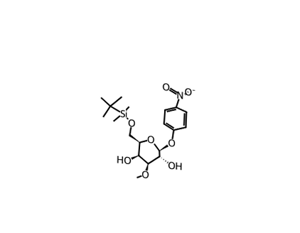 CO[C@H]1[C@@H](O)[C@@H](CO[Si](C)(C)C(C)(C)C)O[C@@H](Oc2ccc([N+](=O)[O-])cc2)[C@@H]1O